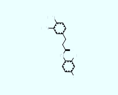 Nc1ccc(CCC(=O)Nc2ccc(Cl)cc2Cl)cc1N